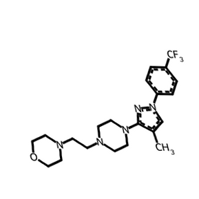 Cc1cn(-c2ccc(C(F)(F)F)cc2)nc1N1CCN(CCN2CCOCC2)CC1